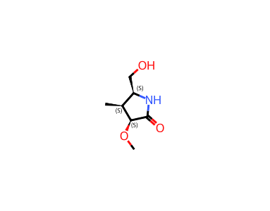 CO[C@@H]1C(=O)N[C@H](CO)[C@@H]1C